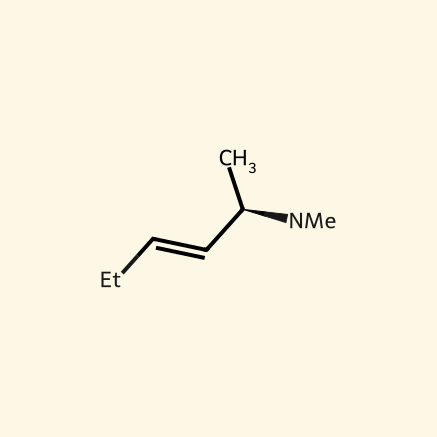 CC/C=C/[C@@H](C)NC